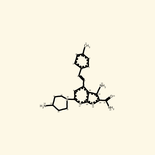 Cc1ccc(/C=C/c2cc(N3CCC(N)CC3)nc3sc(C(N)=O)c(N)c23)cc1